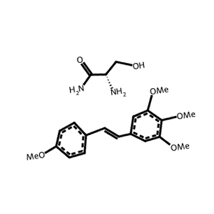 COc1ccc(C=Cc2cc(OC)c(OC)c(OC)c2)cc1.NC(=O)[C@@H](N)CO